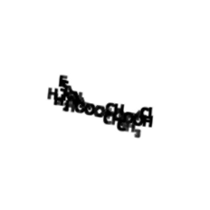 Cc1cc(C(C)(C)c2ccc(OCC(O)CN(N)/C=C(\N)CSF)cc2)ccc1OCC(O)CCl